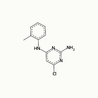 Cc1ccccc1Nc1cc(Cl)nc(N)n1